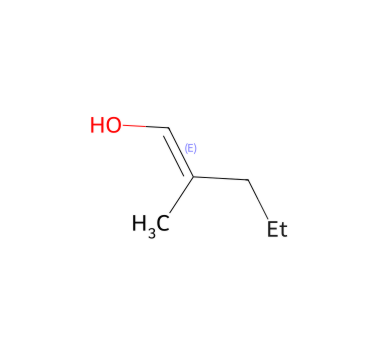 CCC/C(C)=C/O